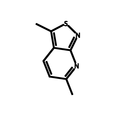 Cc1ccc2c(C)snc2n1